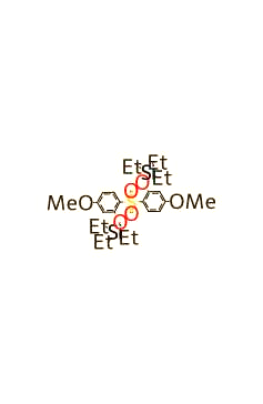 CC[Si](CC)(CC)Oc1cc(OC)ccc1S(=O)(=O)c1ccc(OC)cc1O[Si](CC)(CC)CC